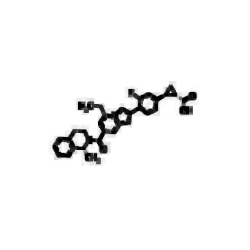 CCc1cc(C(=O)N2CCc3ccccc3[C@H]2C)cc2cc(-c3ccc([C@H]4C[C@@H]4C(=O)O)cc3F)cn12